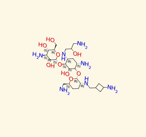 NCC(O)CN[C@@H]1C[C@H](N)C(O[C@H]2O[C@H](CN)CC[C@H]2NCC2CC(N)C2)[C@H](O)[C@H]1O[C@H]1O[C@H](CO)[C@@H](O)[C@H](N)[C@H]1O